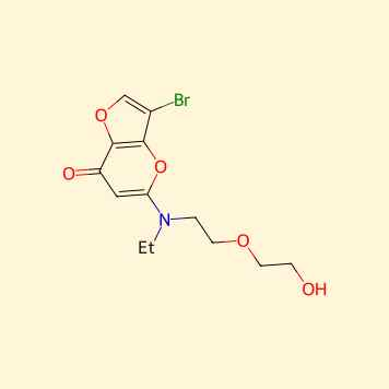 CCN(CCOCCO)c1cc(=O)c2occ(Br)c2o1